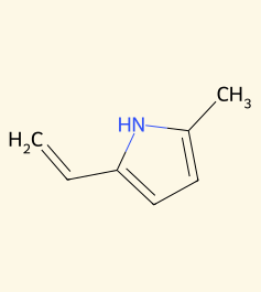 C=Cc1ccc(C)[nH]1